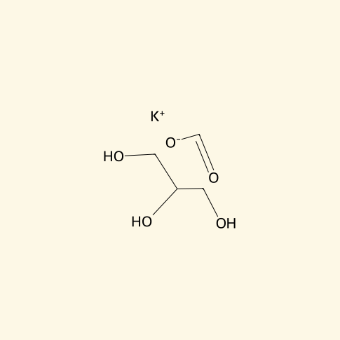 O=C[O-].OCC(O)CO.[K+]